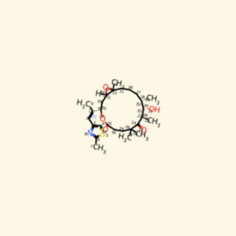 C/C(=C/c1csc(C)n1)[C@@H]1C[C@@H]2O[C@]2(C)CCC[C@H](C)[C@H](O)[C@@H](C)C(=O)C(C)(C)CCC(=O)O1